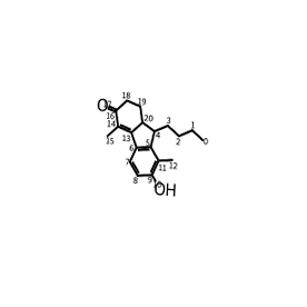 CCCCC1c2c(ccc(O)c2C)C2=C(C)C(=O)CCC21